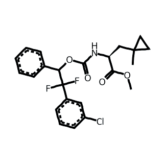 COC(=O)[C@H](CC1(C)CC1)NC(=O)OC(c1ccccc1)C(F)(F)c1cccc(Cl)c1